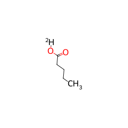 [2H]OC(=O)CCCC